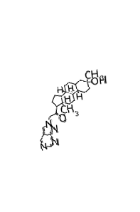 C[C@@]1(O)CC[C@H]2C(CC[C@@H]3[C@@H]2CC[C@]2(C)[C@@H](C(=O)Cn4cc5cncnc5n4)CC[C@@H]32)C1